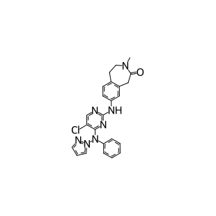 CN1CCc2ccc(Nc3ncc(Cl)c(N(c4ccccc4)n4cccn4)n3)cc2CC1=O